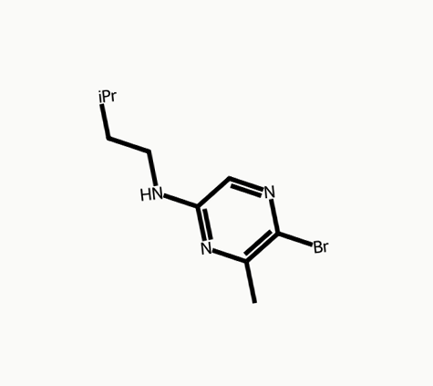 Cc1nc(NCCC(C)C)cnc1Br